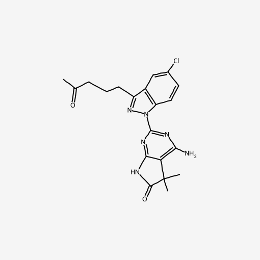 CC(=O)CCCc1nn(-c2nc(N)c3c(n2)NC(=O)C3(C)C)c2ccc(Cl)cc12